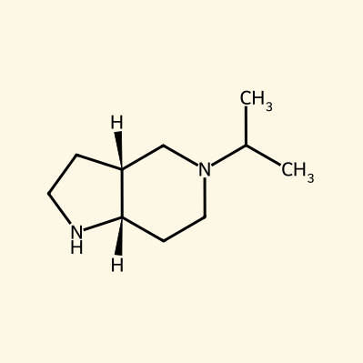 CC(C)N1CC[C@@H]2NCC[C@@H]2C1